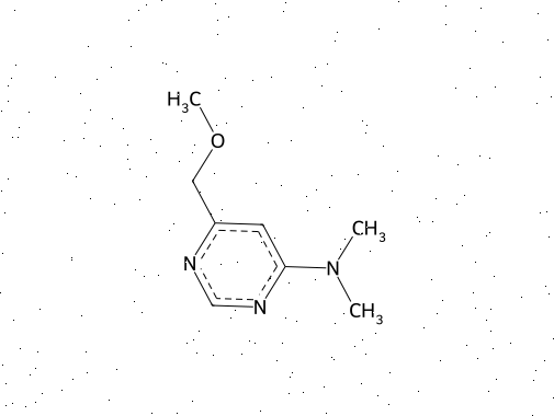 COCc1cc(N(C)C)ncn1